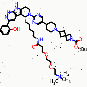 CC(C)(C)OC(=O)N1CC2(CC(N3CCC(c4cnc(N5CCc6[nH]c7nnc(-c8ccccc8O)cc7c6[C@H]5CCCCCNC(=O)CCOCCOCC[N+](C)(C)C)nc4)CC3)C2)C1